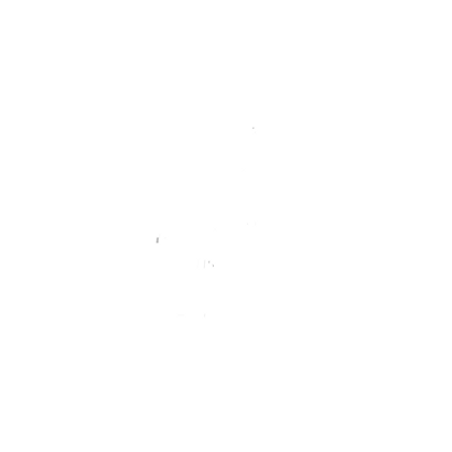 CC(=O)SCC(CC(C)C)C(=O)NCC(=O)O